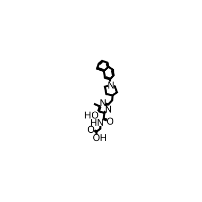 Cc1nc(CC2CCN(c3ccc4ccccc4c3)CC2)nc(C(=O)NCC(=O)O)c1O